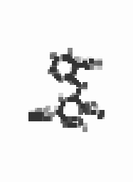 CCCCC(CC(Cc1ccccc1O)[N+](=O)[O-])[N+](=O)[O-]